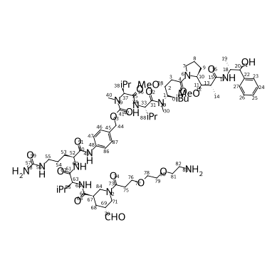 CC[C@H](C)[C@@H]([C@@H](CC(=O)N1CCC[C@H]1[C@H](OC)[C@@H](C)C(=O)N[C@H](C)[C@@H](O)c1ccccc1)OC)N(C)C(=O)[C@@H](NC(=O)[C@H](C(C)C)N(C)C(=O)OCc1ccc(NC(=O)[C@H](CCCNC(N)=O)NC(=O)[C@@H](NC(=O)[C@@H]2C[C@@H](C=O)CN(C(=O)CCOCCOCCN)C2)C(C)C)cc1)C(C)C